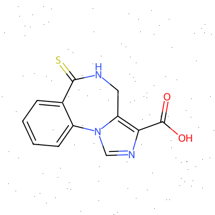 O=C(O)c1ncn2c1CNC(=S)c1ccccc1-2